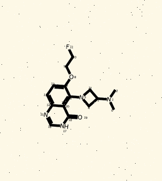 CN(C)C1CN(c2c(OCCF)ccc3nc[nH]c(=O)c23)C1